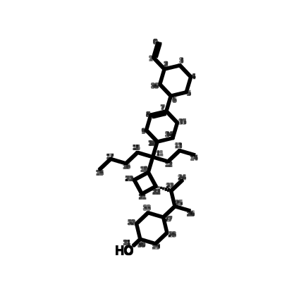 C=CC1CCCC(C2=CCC(C(CCC)(CCCC)C3CC[C@H]3C(C)C(C)C3CCC(O)CC3)CC2)C1